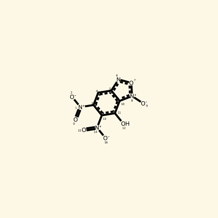 O=[N+]([O-])c1cc2no[n+]([O-])c2c(O)c1[N+](=O)[O-]